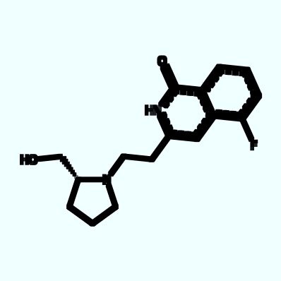 O=c1[nH]c(CCN2CCC[C@@H]2CO)cc2c(F)cccc12